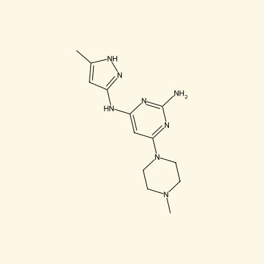 Cc1cc(Nc2cc(N3CCN(C)CC3)nc(N)n2)n[nH]1